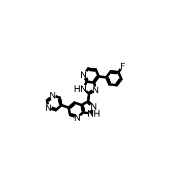 Fc1cccc(-c2ccnc3[nH]c(-c4n[nH]c5ncc(-c6cncnc6)cc45)nc23)c1